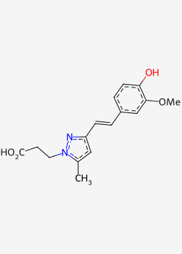 COc1cc(C=Cc2cc(C)n(CCC(=O)O)n2)ccc1O